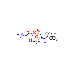 NCC(=O)NOS(=O)(=O)C[C@H](NC(C(=O)O)C(=O)O)C(=O)O